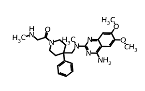 CNCC(=O)N1CCC(CN(C)c2nc(N)c3cc(OC)c(OC)cc3n2)(c2ccccc2)CC1